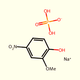 COc1cc([N+](=O)[O-])ccc1O.O=P([O-])(O)O.[Na+]